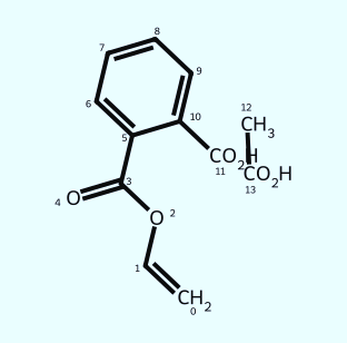 C=COC(=O)c1ccccc1C(=O)O.CC(=O)O